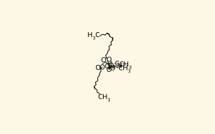 CCCC/C=C\C/C=C\CCCCCCCC(=O)O[C@H](COC(=O)CCCCCCC/C=C\CCCC)COP(=O)([O-])OCC[N+](C)(C)C